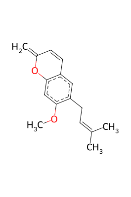 C=C1C=Cc2cc(CC=C(C)C)c(OC)cc2O1